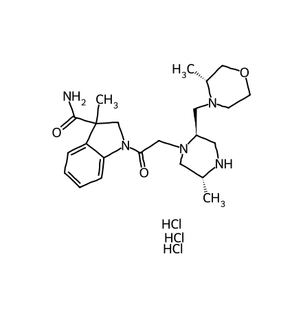 C[C@@H]1CN(CC(=O)N2CC(C)(C(N)=O)c3ccccc32)[C@@H](CN2CCOC[C@H]2C)CN1.Cl.Cl.Cl